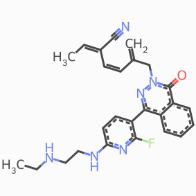 C=C(/C=C\C(C#N)=C/C)Cn1nc(-c2ccc(NCCNCC)nc2F)c2ccccc2c1=O